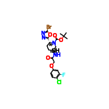 CC(C)(C)OC(=O)N1C[Si@@H](NC(=O)COc2ccc(Cl)c(F)c2)CC[C@@H]1c1nnc(Br)o1